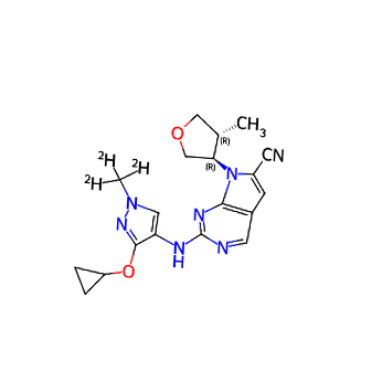 [2H]C([2H])([2H])n1cc(Nc2ncc3cc(C#N)n([C@H]4COC[C@@H]4C)c3n2)c(OC2CC2)n1